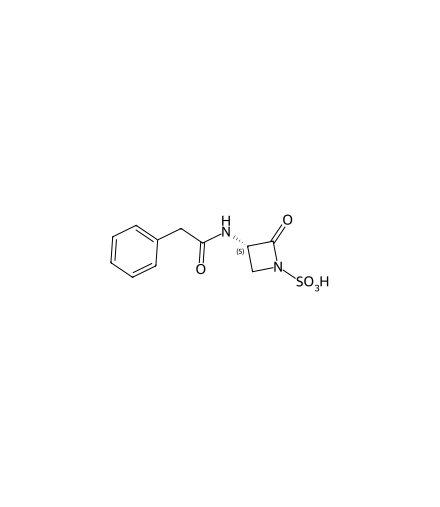 O=C(Cc1ccccc1)N[C@H]1CN(S(=O)(=O)O)C1=O